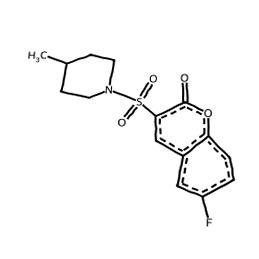 CC1CCN(S(=O)(=O)c2cc3cc(F)ccc3oc2=O)CC1